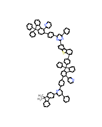 CC1(C)c2ccccc2-c2cc(-c3cc(-c4ccccc4)cc(-c4ccc(-c5ccc6c(c5-c5cccnc5)-c5ccccc5C6(c5ccccc5)c5ccc(-c6cccc7c6sc6ccc(-c8nc(-c9ccccc9)cc(-c9ccc(-c%10ccc%11c(c%10-c%10ccccn%10)-c%10ccccc%10C%11(c%10ccccc%10)c%10ccccc%10)cc9)n8)cc67)cc5)cc4)n3)ccc21